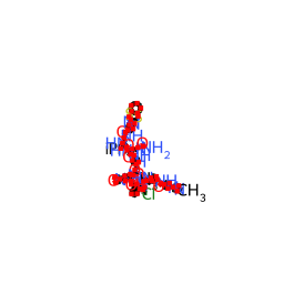 CC(C)[C@@H](NCCNC(=O)c1ccc2nc3c(nc2c1)CSc1cccccccc(c1)SC3)C(=O)N[C@H](CCCNC(N)=O)C(=O)Nc1ccc(COC(=O)N(C)C[C@@H]2C[C@@H](N3CCOCC3)CN2C(=O)Oc2cc3c(c4ccccc24)[C@H](CCl)CN3C(=O)c2cc3cc(NC(=O)c4ccc(N5CCN(C)CC5)cc4)ccc3[nH]2)cc1